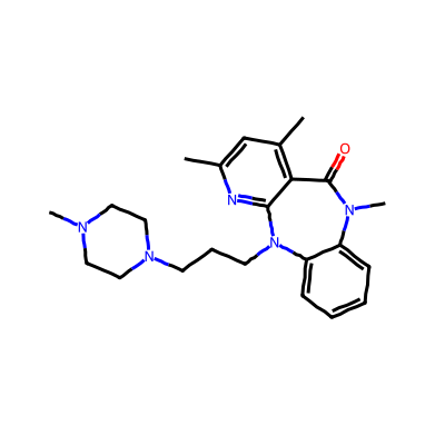 Cc1cc(C)c2c(n1)N(CCCN1CCN(C)CC1)c1ccccc1N(C)C2=O